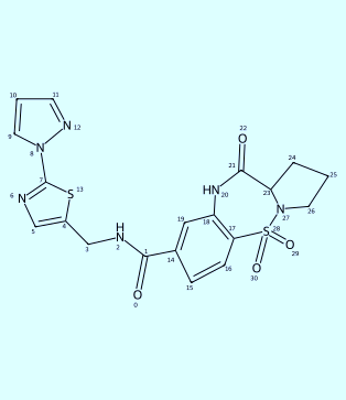 O=C(NCc1cnc(-n2cccn2)s1)c1ccc2c(c1)NC(=O)C1CCCN1S2(=O)=O